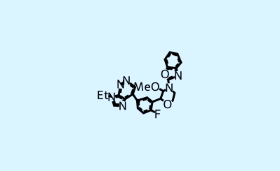 CCn1cnc2c(-c3ccc(F)c(C4OCCN(c5nc6ccccc6o5)C4OC)c3)cnnc21